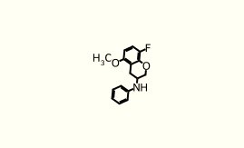 COc1ccc(F)c2c1CC(Nc1ccccc1)CO2